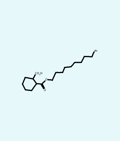 CC(C)CCCCCCCCCOC(=O)C1CCCCC1C(=O)O